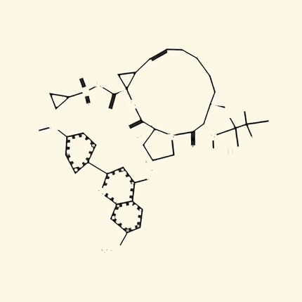 COc1ccc2c(O[C@@H]3C[C@H]4C(=O)N[C@]5(C(=O)NS(=O)(=O)C6CC6)C[C@H]5C=CCCCC[C@@H](C)[C@H](N(C(=O)O)C(C)(C)C(C)(F)F)C(=O)N4C3)cc(-c3ccc(OC(C)C)cc3)nc2c1